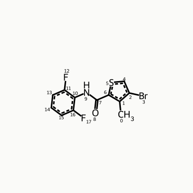 Cc1c(Br)csc1C(=O)Nc1c(F)cccc1F